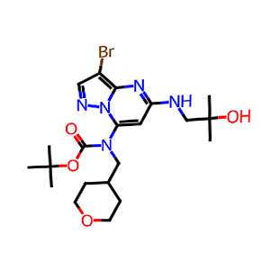 CC(C)(O)CNc1cc(N(CC2CCOCC2)C(=O)OC(C)(C)C)n2ncc(Br)c2n1